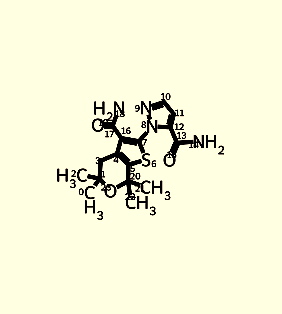 CC1(C)Cc2c(sc(-n3nccc3C(N)=O)c2C(N)=O)C(C)(C)O1